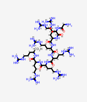 N=C(N)NCCCC(NC(=O)C(CCCNC(=N)N)NC(=O)C(CCCNC(=N)N)NC(=O)C(CCCNC(=N)N)NC(=O)C(CCCNC(=N)N)NC(=O)C(CCCNC(=N)N)NC(=O)C(CCCNC(=N)N)NC(=O)CN)C(=O)O